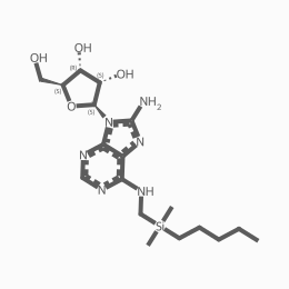 CCCCC[Si](C)(C)CNc1ncnc2c1nc(N)n2[C@H]1O[C@@H](CO)[C@H](O)[C@@H]1O